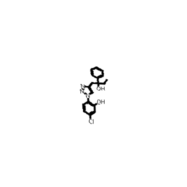 CCC(O)(Cc1cn(-c2ccc(Cl)cc2O)nn1)c1ccccc1